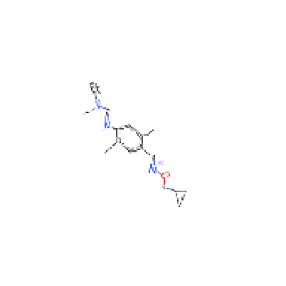 CCN(C)C=Nc1cc(C)c(/C=N/OCC2CC2)cc1C